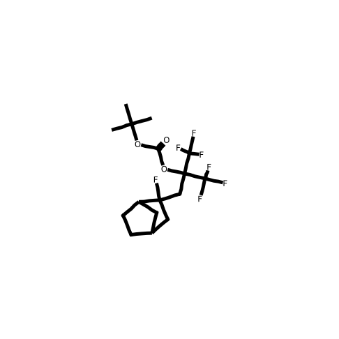 CC(C)(C)OC(=O)OC(CC1(F)CC2CCC1C2)(C(F)(F)F)C(F)(F)F